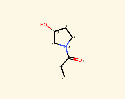 C[CH]C(=O)N1CC[C@@H](O)C1